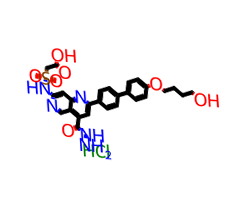 Cl.NNC(=O)c1cc(-c2ccc(-c3ccc(OCCCCO)cc3)cc2)nc2cc(NS(=O)(=O)CC(=O)O)ncc12